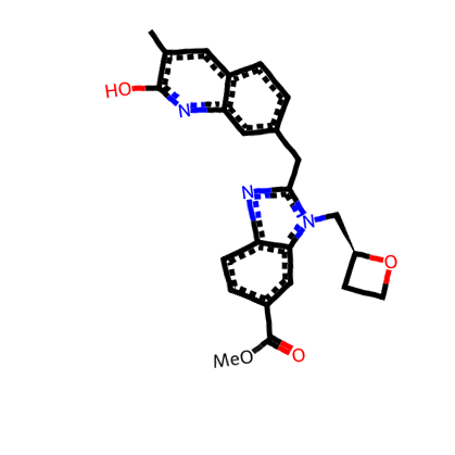 COC(=O)c1ccc2nc(Cc3ccc4cc(C)c(O)nc4c3)n(C[C@@H]3CCO3)c2c1